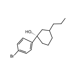 CCCC1CCC[C@@](O)(c2ccc(Br)cc2)C1